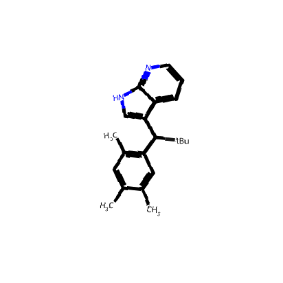 Cc1cc(C)c(C(c2c[nH]c3ncccc23)C(C)(C)C)cc1C